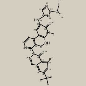 Cn1cc(-c2ccnc(-n3ncc4cc(C(C)(C)C)cc(F)c4c3=O)c2CO)cc(Nc2cnn(C(F)F)n2)c1=O